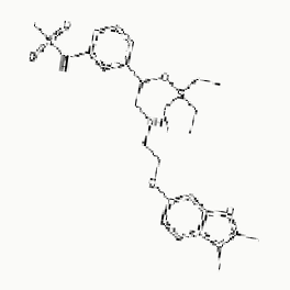 CC[Si](CC)(CC)OC(CNCCOc1ccc2c(C)c(C)oc2c1)c1cccc(NS(C)(=O)=O)c1